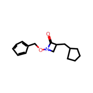 O=C1C(CC2CCCC2)CN1OCc1ccccc1